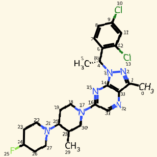 Cc1nn([C@H](C)c2ccc(Cl)cc2Cl)c2nc(N3CCC(N4CCC(F)CC4)C(C)C3)cnc12